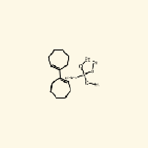 C1=C(C2=CCCCCC2)CCCCC1.CCCCCC[Si](OCC)(OCC)OCC